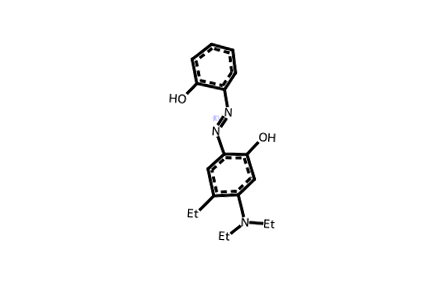 CCc1cc(/N=N/c2ccccc2O)c(O)cc1N(CC)CC